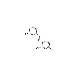 Fc1[c]c(Cl)c(OCc2cccc(F)c2)cc1